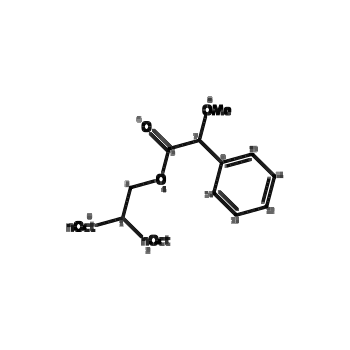 CCCCCCCCC(CCCCCCCC)COC(=O)C(OC)c1ccccc1